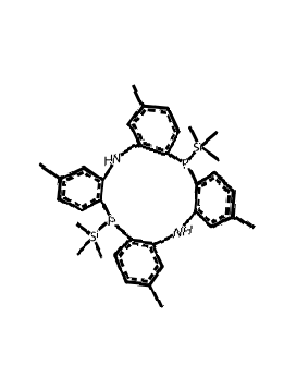 Cc1ccc2c(c1)Nc1cc(C)ccc1P([Si](C)(C)C)c1ccc(C)cc1Nc1cc(C)ccc1P2[Si](C)(C)C